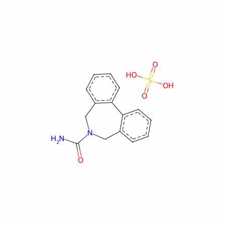 NC(=O)N1Cc2ccccc2-c2ccccc2C1.O=S(=O)(O)O